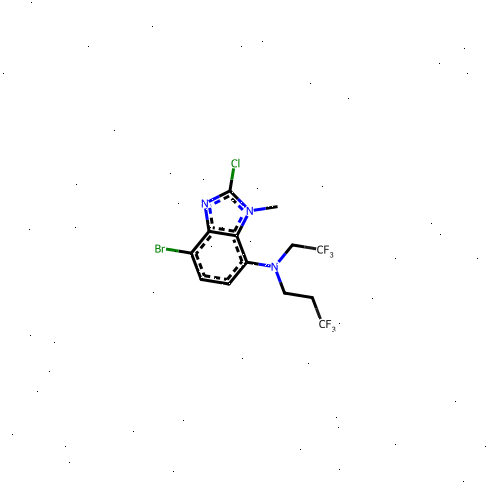 Cn1c(Cl)nc2c(Br)ccc(N(CCC(F)(F)F)CC(F)(F)F)c21